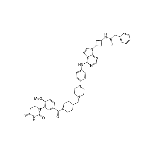 COc1ccc(C(=O)N2CCC(CN3CCN(c4ccc(Nc5ncnc6c5ncn6C5CC(NC(=O)Cc6ccccc6)C5)cc4)CC3)CC2)cc1N1CCC(=O)NC1=O